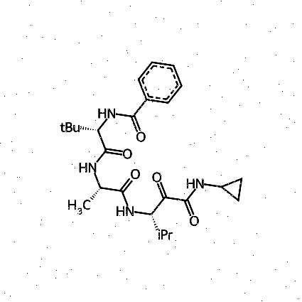 CC(C)[C@H](NC(=O)[C@H](C)NC(=O)[C@@H](NC(=O)c1ccccc1)C(C)(C)C)C(=O)C(=O)NC1CC1